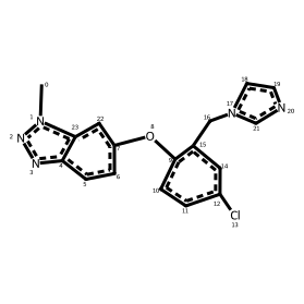 Cn1nnc2ccc(Oc3ccc(Cl)cc3Cn3ccnc3)cc21